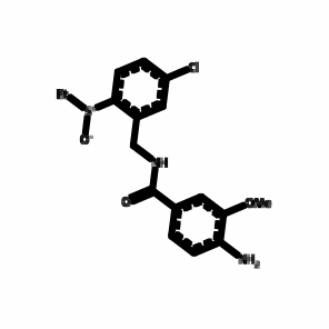 CC[S+]([O-])c1ccc(Cl)cc1CNC(=O)c1ccc(N)c(OC)c1